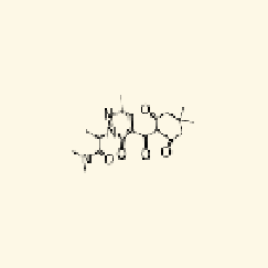 Cc1cc(C(=O)C2C(=O)CC(C)(C)CC2=O)c(=O)n(C(C)C(=O)N(C)C)n1